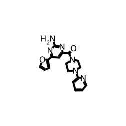 Nc1nc(C(=O)N2CCN(c3ccccn3)CC2)cc(-c2ccco2)n1